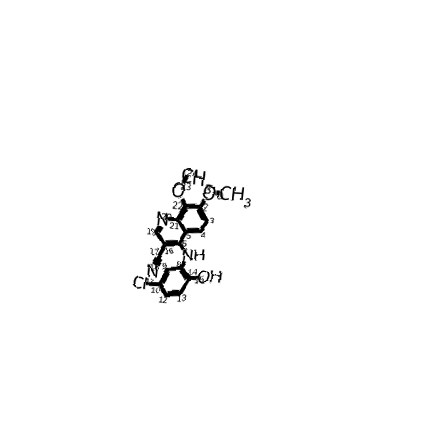 COc1ccc2c(Nc3cc(Cl)ccc3O)c(C#N)cnc2c1OC